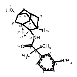 Cc1cccc(C(C)(C)C(=O)N[C@H]2[C@@H]3CC4C[C@H]2C[C@](O)(C4)C3)c1